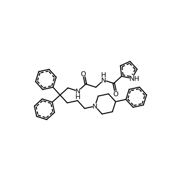 O=C(CNC(=O)c1ccc[nH]1)NCC(CCCN1CCC(c2ccccc2)CC1)(c1ccccc1)c1ccccc1